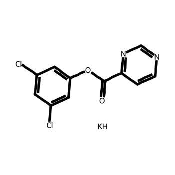 O=C(Oc1cc(Cl)cc(Cl)c1)c1ccncn1.[KH]